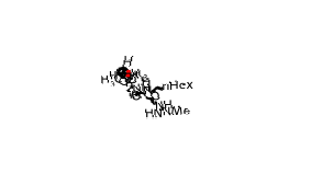 CCCCCC/C=C/C(=O)N[C@@H](CCCNC(=N)NC)C(=O)N[C@@H](CC(C)C)B1O[C@@H]2C[C@@H]3C[C@@H](C3(C)C)[C@]2(C)O1